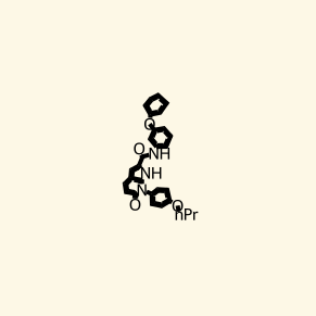 CCCOc1ccc(-n2c(=O)ccc3cc(C(=O)Nc4cccc(Oc5ccccc5)c4)[nH]c32)cc1